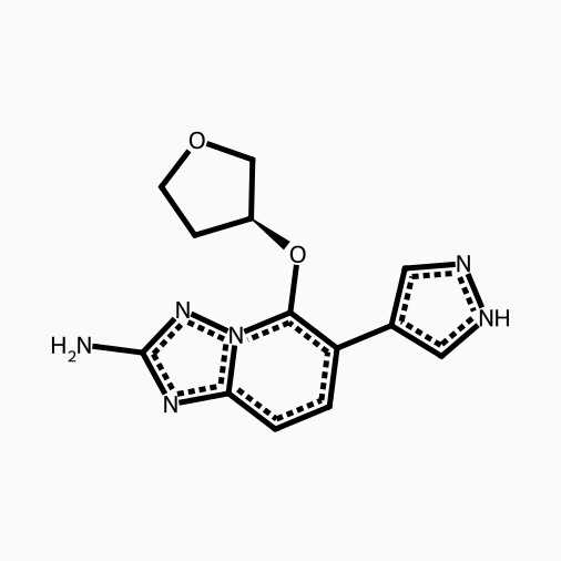 Nc1nc2ccc(-c3cn[nH]c3)c(O[C@H]3CCOC3)n2n1